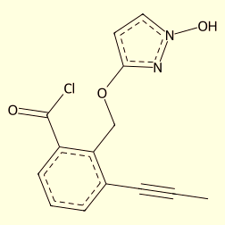 CC#Cc1cccc(C(=O)Cl)c1COc1ccn(O)n1